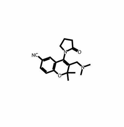 CN(C)CC1=C(N2CCCC2=O)c2cc(C#N)ccc2OC1(C)C